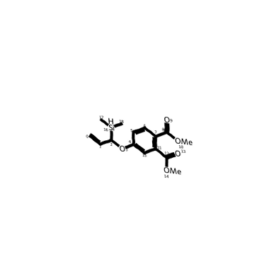 C=CC(Oc1ccc(C(=O)OC)c(C(=O)OC)c1)[SiH](C)C